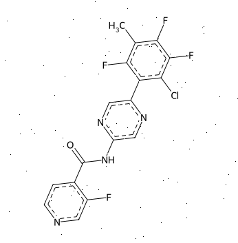 Cc1c(F)c(F)c(Cl)c(-c2cnc(NC(=O)c3ccncc3F)cn2)c1F